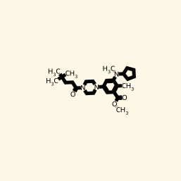 COC(=O)c1cc(N2CCN(C(=O)CCC(C)(C)C)CC2)cc(N(C)C2CCCC2)c1C